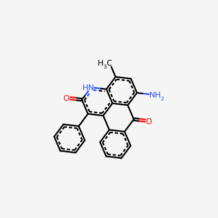 Cc1cc(N)c2c3c(c(-c4ccccc4)c(=O)[nH]c13)-c1ccccc1C2=O